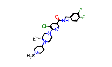 CC[C@H]1CN(c2ncc(C(=O)NCc3ccc(F)c(F)c3)cc2Cl)CCN1C1CCN(C)CC1